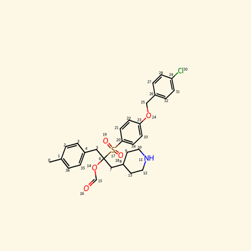 Cc1ccc(CC(CC2CCNCC2)(OC=O)S(=O)(=O)c2ccc(OCc3ccc(Cl)cc3)cc2)cc1